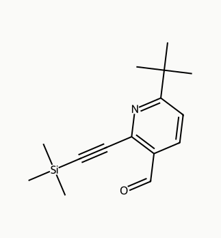 CC(C)(C)c1ccc(C=O)c(C#C[Si](C)(C)C)n1